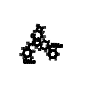 CN[C@]1(c2ccccc2)CC[C@]2(CC1)CN(CC1=CCC(OC)C=C1)C(=O)N2CC1CCC1